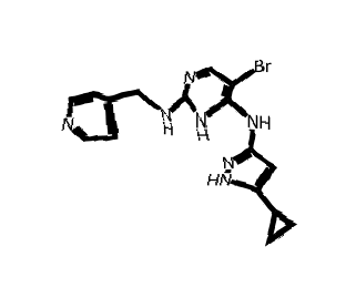 BrC1=C(Nc2cc(C3CC3)[nH]n2)NC(NCc2ccncc2)N=C1